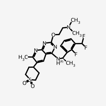 Cc1nc2nc(OCCN(C)C)nc(N[C@H](C)c3cccc(C(F)F)c3F)c2cc1C1CCS(=O)(=O)CC1